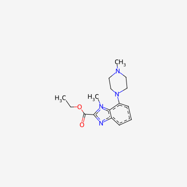 CCOC(=O)c1nc2cccc(N3CCN(C)CC3)c2n1C